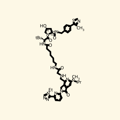 CCn1cnnc1-c1cccc(N2Cc3c(cc(N(C)C(C)C)nc3CNCC(=O)NCCCCCCC(=O)N[C@H](C(=O)N3C[C@H](O)C[C@H]3C(=O)NCc3ccc(-c4scnc4C)cc3)C(C)(C)C)C2=O)n1